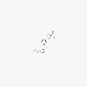 CN(C)C(=O)Cn1ccc(Nc2cc(N3CC[C@@](C#N)(C4CC4)C3=O)ccn2)n1